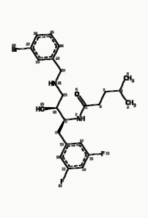 CC(C)CCC(=O)N[C@@H](Cc1cc(F)cc(F)c1)[C@@H](O)CNCc1cccc(Br)c1